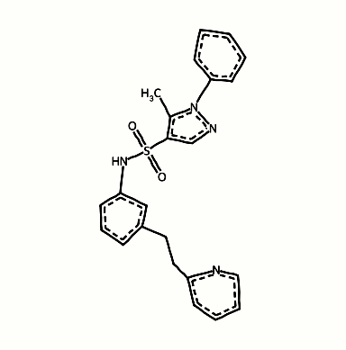 Cc1c(S(=O)(=O)Nc2cccc(CCc3ccccn3)c2)cnn1-c1ccccc1